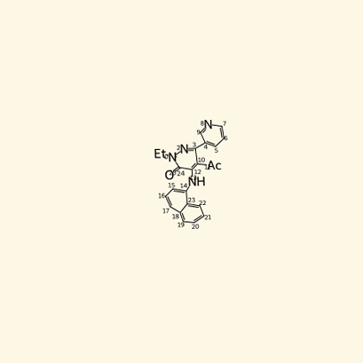 CCn1nc(-c2cccnc2)c(C(C)=O)c(Nc2cccc3ccccc23)c1=O